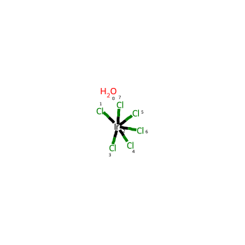 O.[Cl][Ir]([Cl])([Cl])([Cl])([Cl])[Cl]